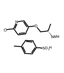 CN[C@@H](C)COc1ccc(Cl)nc1.Cc1ccc(S(=O)(=O)O)cc1